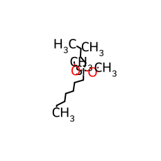 CCCCCCC[Si](CCC(C)C)(OC)OC